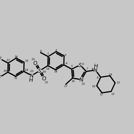 Cc1ccc(-c2sc(NC3CCCCC3)nc2C)cc1S(=O)(=O)Nc1ccc(F)c(F)c1